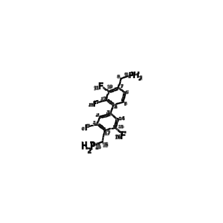 Fc1cc(-c2ccc(CP)c(F)c2F)cc(F)c1CP